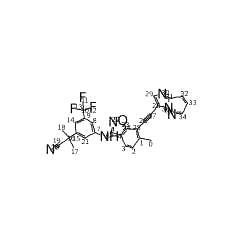 Cc1ccc2c(Nc3cc(C(F)(F)F)cc(C(C)(C)C#N)c3)noc2c1C#Cc1cnc2cccnn12